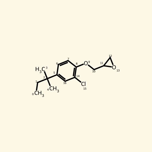 CCC(C)(C)c1ccc(OCC2CO2)c(Cl)c1